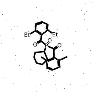 CCc1cccc(CC)c1C(=O)P(=O)(C(=O)c1c(C)cccc1C)C1CCCCC1